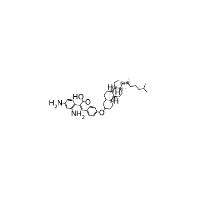 CC(C)CCC[C@@H](C)[C@H]1CC[C@H]2[C@@H]3CCC4CC(Oc5ccc(C=C(C(=O)O)c6ccc(N)cc6N)cc5)CC[C@]4(C)[C@H]3CC[C@]12C